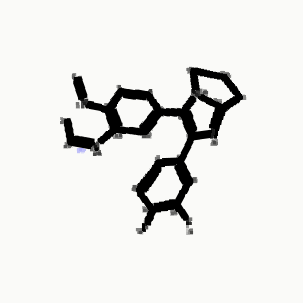 C=Nc1ccc(-c2c(-c3ccc(F)c(F)c3)nc3n2CCC3)cc1/N=C\C